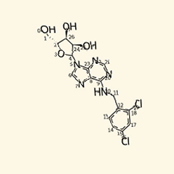 OC[C@H]1OC(n2cnc3c(NCc4ccc(Cl)cc4Cl)ncnc32)[C@H](O)[C@@H]1O